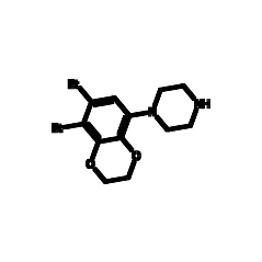 CCc1cc(N2CCNCC2)c2c(c1CC)OCCO2